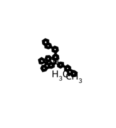 CC1(C)c2ccccc2-c2ccc(-c3ccc(N(c4ccc(-c5cccc(-c6ccc7ccccc7c6)c5)cc4)c4ccc5c(c4)C(c4ccccc4)(C4C=CC=CC4)c4ccccc4-5)cc3)cc21